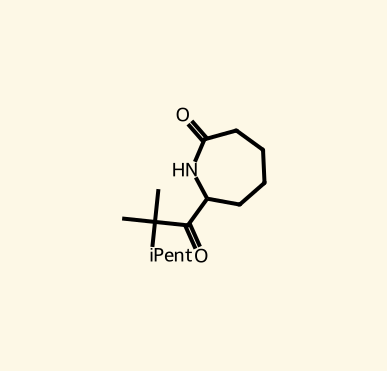 CCCC(C)C(C)(C)C(=O)C1CCCCC(=O)N1